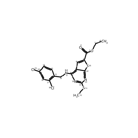 CCOC(=O)c1cc2c(NCc3ccc(Cl)cc3Cl)nc(SC)nc2s1